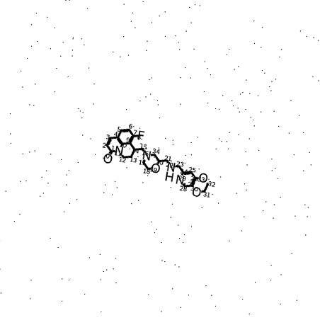 O=c1ccc2ccc(F)c3c2n1CCC3CN1CCOC(CNCc2cc3c(cn2)OCCO3)C1